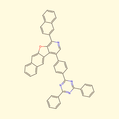 c1ccc(-c2nc(-c3ccccc3)nc(-c3ccc(-c4cnc(-c5ccc6ccccc6c5)c5oc6cc7ccccc7cc6c45)cc3)n2)cc1